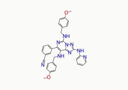 COc1ccc(CNc2c(-c3cccc(C#N)c3)nc(NCc3ccc(OC)cc3)n3nc(Nc4ccccn4)nc23)cc1